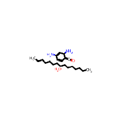 CCCCCCCCCCCCCCC.NC1=CC(N)C(=C=O)C=C1.O